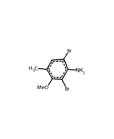 COc1c(C)cc(Br)c(N)c1Br